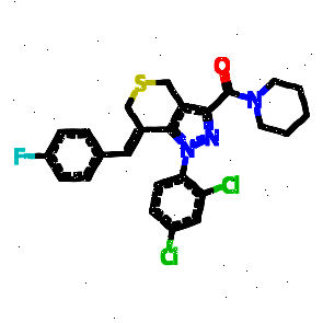 O=C(c1nn(-c2ccc(Cl)cc2Cl)c2c1CSC/C2=C\c1ccc(F)cc1)N1CCCCC1